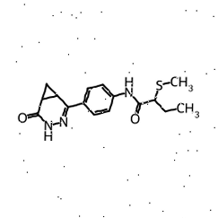 CCC(SC)C(=O)Nc1ccc(C2=NNC(=O)C3CC23)cc1